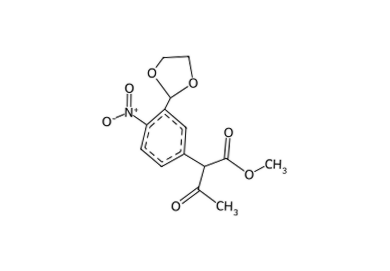 COC(=O)C(C(C)=O)c1ccc([N+](=O)[O-])c(C2OCCO2)c1